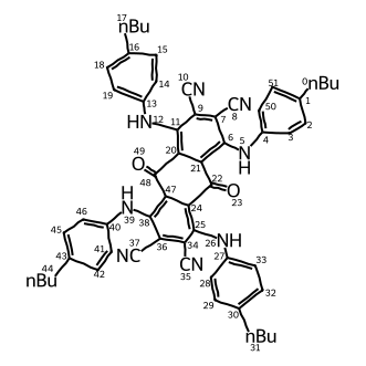 CCCCc1ccc(Nc2c(C#N)c(C#N)c(Nc3ccc(CCCC)cc3)c3c2C(=O)c2c(Nc4ccc(CCCC)cc4)c(C#N)c(C#N)c(Nc4ccc(CCCC)cc4)c2C3=O)cc1